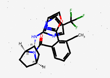 Cc1cccc(C(=O)N2[C@@H]3CC[C@H]2[C@H](Nc2ncc(C(F)(F)F)cn2)C3)c1-c1ncco1